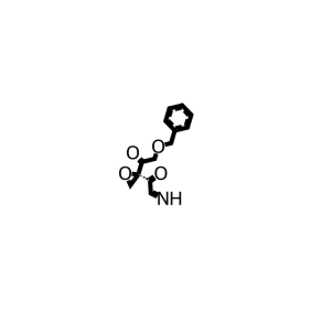 N=CC(=O)[C@]1(C(=O)COCc2ccccc2)CO1